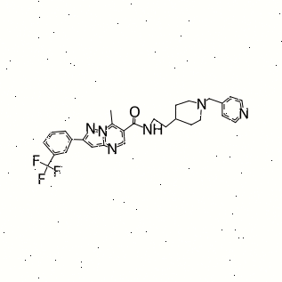 Cc1c(C(=O)NCCC2CCN(Cc3ccncc3)CC2)cnc2cc(-c3cccc(C(F)(F)F)c3)nn12